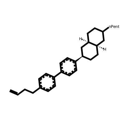 C=CCCc1ccc(-c2ccc([C@@H]3CC[C@@H]4CC(CCCCC)CC[C@@H]4C3)cc2)cc1